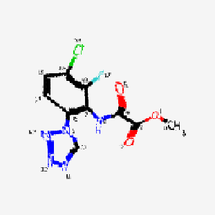 COC(=O)C(=O)Nc1c(-n2cnnn2)ccc(Cl)c1F